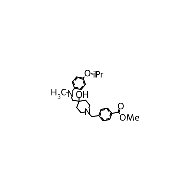 COC(=O)c1ccc(CN2CCC(O)(CN(C)c3ccc(OC(C)C)cc3)CC2)cc1